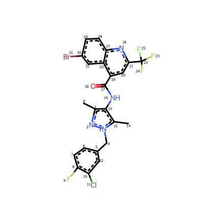 Cc1nn(Cc2ccc(F)c(Cl)c2)c(C)c1NC(=O)c1cc(C(F)(F)F)nc2ccc(Br)cc12